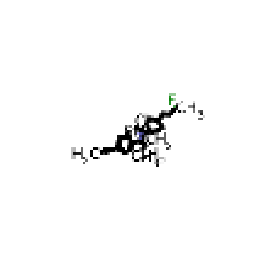 C=C/C(=C(/C=C)C1(C)CCC(CCC(C)F)CC1)c1c(C)cc(C#CC)cc1C